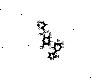 [O-][S+](Nc1ccncn1)c1cc(Cl)c(O[C@H]2CC(F)(F)CCC2c2ccn[nH]2)cc1F